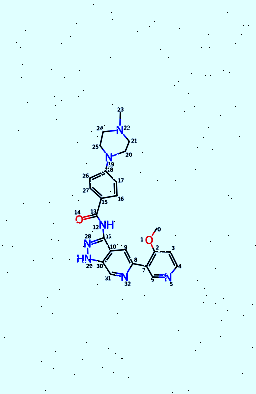 COc1ccncc1-c1cc2c(NC(=O)c3ccc(N4CCN(C)CC4)cc3)n[nH]c2cn1